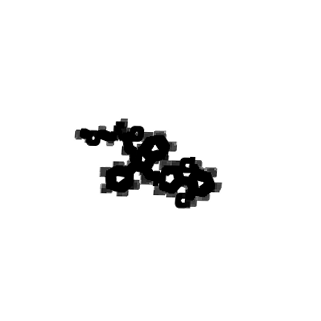 COCCN(C)C(=O)Cn1c(-c2ccccc2)c(CN2CCC(c3c(Cl)cccc3Cl)CC2)c2ccccc21